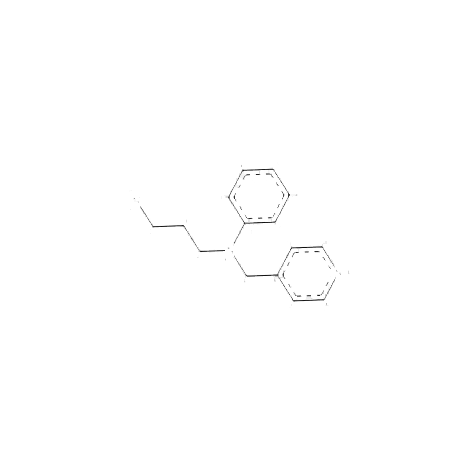 NCCCN(Cc1ccncc1)c1ccccc1